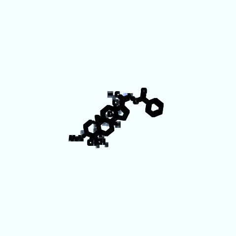 CN[C@H]1CC[C@]23C[C@]24CC[C@]2(C)C(/C(C)=N\OC(=O)c5ccccc5)=CC[C@@]2(C)[C@@H]4CC[C@H]3C1(C)C